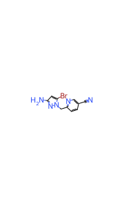 N#Cc1ccc(Cn2nc(N)cc2Br)nc1